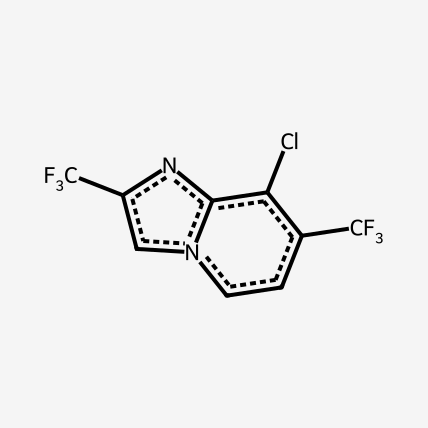 FC(F)(F)c1cn2ccc(C(F)(F)F)c(Cl)c2n1